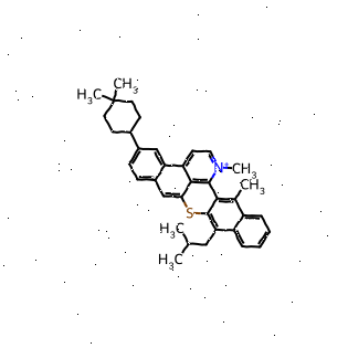 Cc1c2c(c(CC(C)C)c3ccccc13)Sc1cc3ccc(C4CCC(C)(C)CC4)cc3c3cc[n+](C)c-2c13